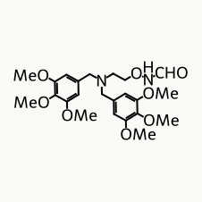 COc1cc(CN(CCONC=O)Cc2cc(OC)c(OC)c(OC)c2)cc(OC)c1OC